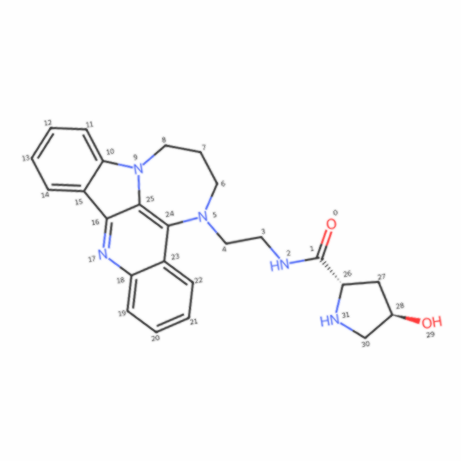 O=C(NCCN1CCCn2c3ccccc3c3nc4ccccc4c1c32)[C@@H]1C[C@@H](O)CN1